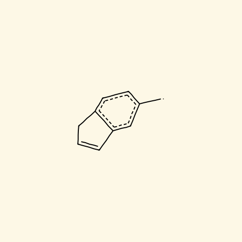 [CH2]c1ccc2c(c1)C=CC2